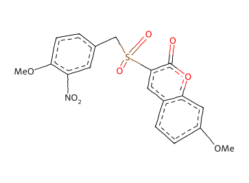 COc1ccc2cc(S(=O)(=O)Cc3ccc(OC)c([N+](=O)[O-])c3)c(=O)oc2c1